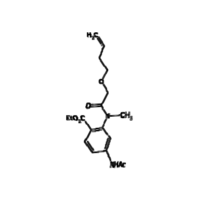 C=CCCOCC(=O)N(C)c1cc(NC(C)=O)ccc1C(=O)OCC